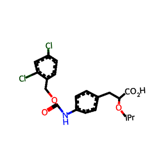 CC(C)OC(Cc1ccc(NC(=O)OCc2ccc(Cl)cc2Cl)cc1)C(=O)O